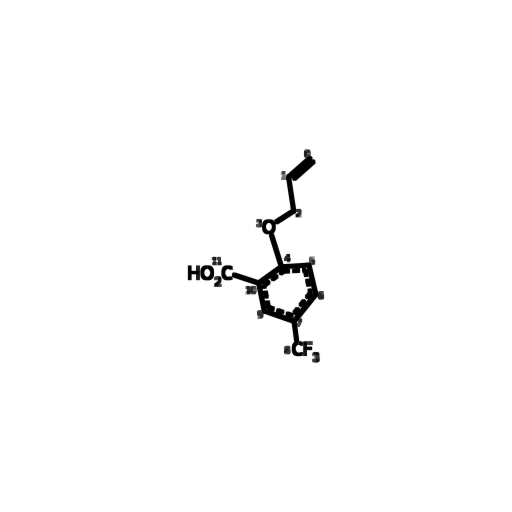 C=CCOc1ccc(C(F)(F)F)cc1C(=O)O